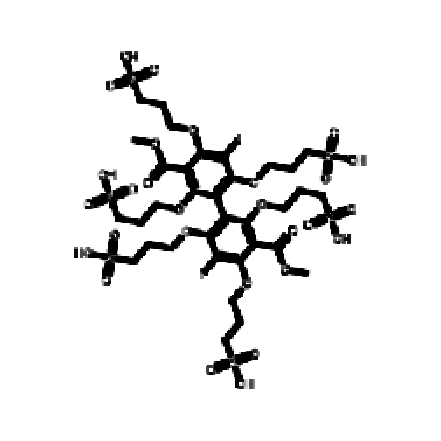 COC(=O)c1c(OCCCS(=O)(=O)O)c(I)c(OCCCS(=O)(=O)O)c(-c2c(OCCCS(=O)(=O)O)c(I)c(OCCCS(=O)(=O)O)c(C(=O)OC)c2OCCCS(=O)(=O)O)c1OCCCS(=O)(=O)O